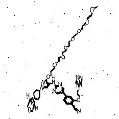 COCCOCCOCCOCCOCCOCCOCCCOc1nn([C@H]2CC[C@H](N3[C@@H]4CC[C@H]3COC4)CC2)cc1Nc1ncc(-c2ccc(C#N)c(O[C@@H](C)Cn3cnnn3)c2)cn1